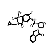 CC(C)n1c(=O)n(CC2CC2)c(=O)c2cc(NC(=O)[C@@H]3COC[C@@H]3N3Cc4ccccc4C3=O)c(F)cc21